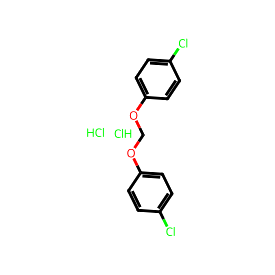 Cl.Cl.Clc1ccc(OCOc2ccc(Cl)cc2)cc1